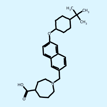 CC(C)(C)C1CCC(Oc2ccc3cc(CN4CCCC(C(=O)O)CC4)ccc3c2)CC1